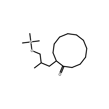 CC(CO[Si](C)(C)C)CC1CCCCCCCCCCC1=O